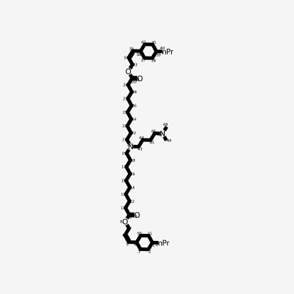 CCCC1CCC(/C=C\COC(=O)CCCCCCCCCN(CCCCCCCCCC(=O)OC/C=C\C2CCC(CCC)CC2)CCCCN(C)C)CC1